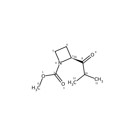 COC(=O)N1CC[C@H]1C(=O)C(C)C